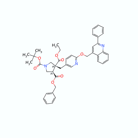 CCOC(=O)[C@@]1(Cc2ccc(OCc3cc(-c4ccccc4)nc4ccccc34)nc2)CN(C(=O)OC(C)(C)C)C[C@@H]1C(=O)OCc1ccccc1